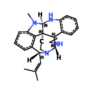 CC(C)=C[C@@H]1c2cccc3c2[C@]24CCN1[C@H]1NCC[C@]12c1ccccc1N[C@@H]4N3C